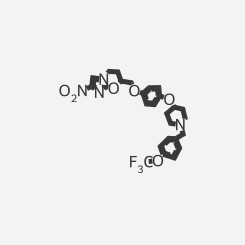 O=[N+]([O-])c1cn2c(n1)OC(COc1ccc(OC3CCN(Cc4ccc(OC(F)(F)F)cc4)CC3)cc1)CC2